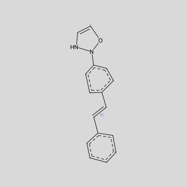 [C]1=CNN(c2ccc(/C=C/c3ccccc3)cc2)O1